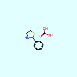 O=C(O)O.c1ccc(C2NCCS2)cc1